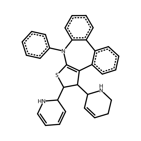 C1=CNC(C2SC3=C(c4ccccc4-c4ccccc4N3c3ccccc3)C2C2C=CCCN2)C=C1